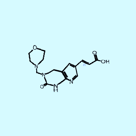 O=C(O)/C=C/c1cnc2c(c1)CN(CN1CCOCC1)C(=O)N2